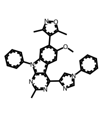 COc1cc2c3c(-c4cn(-c5ccccc5)cn4)nc(C)nc3n(-c3ccccc3)c2cc1-c1c(C)noc1C